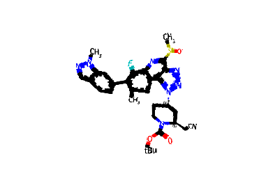 Cc1cc2c(nc([S+](C)[O-])c3nnn([C@H]4CCN(C(=O)OC(C)(C)C)[C@H](CC#N)C4)c32)c(F)c1-c1ccc2cnn(C)c2c1